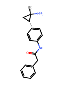 CC[C@]1(N)C[C@H]1c1ccc(NC(=O)Cc2ccccc2)cc1